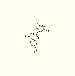 CC[C@@H](NC(=O)c1cc(=O)[nH]c(C)n1)c1ccc(SF)cc1